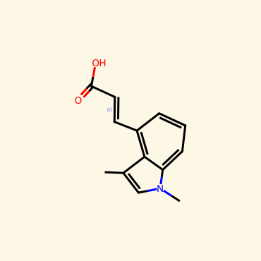 Cc1cn(C)c2cccc(/C=C/C(=O)O)c12